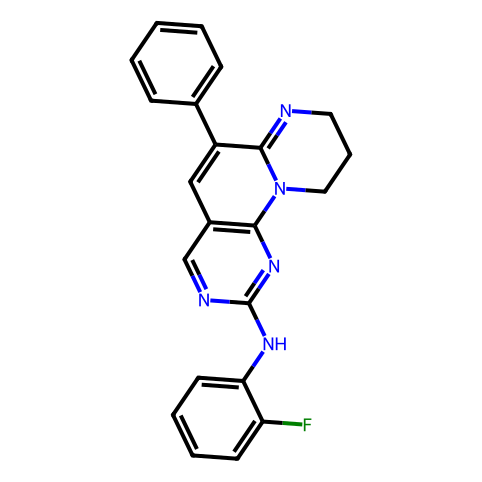 Fc1ccccc1Nc1ncc2c(n1)N1CCCN=C1C(c1ccccc1)=C2